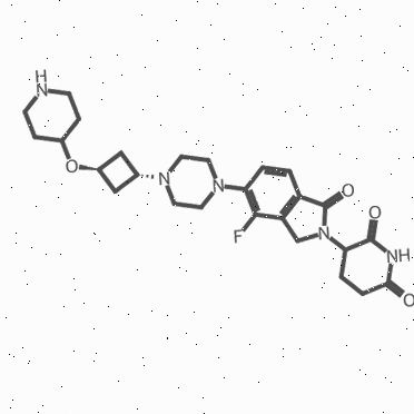 O=C1CCC(N2Cc3c(ccc(N4CCN([C@H]5C[C@H](OC6CCNCC6)C5)CC4)c3F)C2=O)C(=O)N1